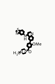 COc1cc(C(=O)N2CCN(C)CC2)ccc1-c1ccc2nccc(Nc3ccc4scnc4c3)c2c1